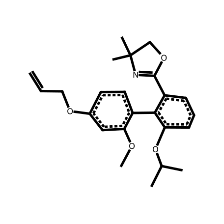 C=CCOc1ccc(-c2c(OC(C)C)cccc2C2=NC(C)(C)CO2)c(OC)c1